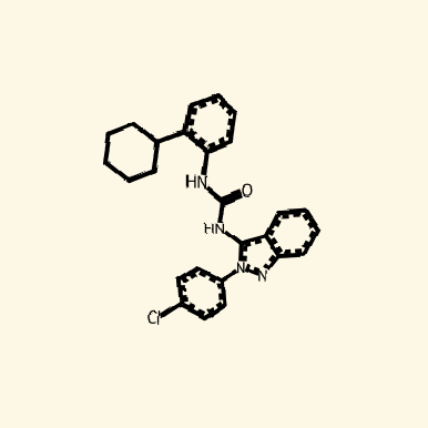 O=C(Nc1ccccc1C1CCCCC1)Nc1c2ccccc2nn1-c1ccc(Cl)cc1